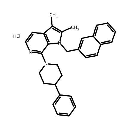 Cc1c(C)n(Cc2ccc3ccccc3c2)c2c(N3CCC(c4ccccc4)CC3)nccc12.Cl